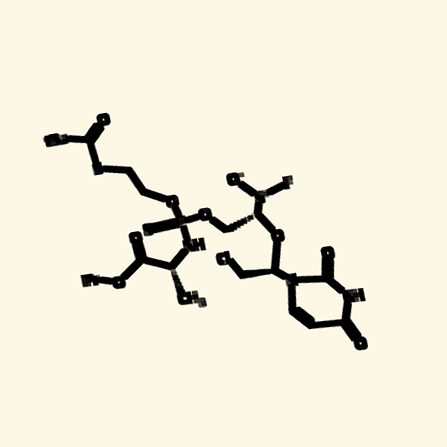 CC(C)OC(=O)[C@@H](C)NP(=S)(OCCSC(=O)C(C)(C)C)OC[C@@H](O[C@H](CCl)n1ccc(=O)[nH]c1=O)[S+]([O-])F